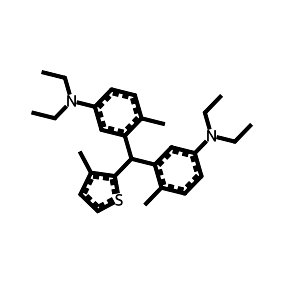 CCN(CC)c1ccc(C)c(C(c2cc(N(CC)CC)ccc2C)c2sccc2C)c1